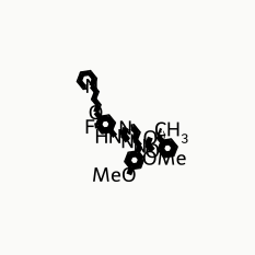 COc1ccc(N(C(=O)O[C@@H](C)c2ccccc2)c2ccnc(Nc3ccc(OCCCN4CCCCC4)c(F)c3)n2)c(OC)c1